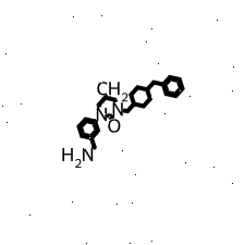 C=C1CN(CC2CCC(Cc3ccccc3)CC2)C(=O)N(c2cccc(CN)c2)C1